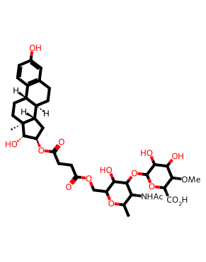 COC1C(C(=O)O)OC(OC2C(O)C(COC(=O)CCC(=O)O[C@@H]3C[C@H]4[C@@H]5CCc6cc(O)ccc6[C@H]5CC[C@]4(C)[C@H]3O)OC(C)C2NC(C)=O)C(O)C1O